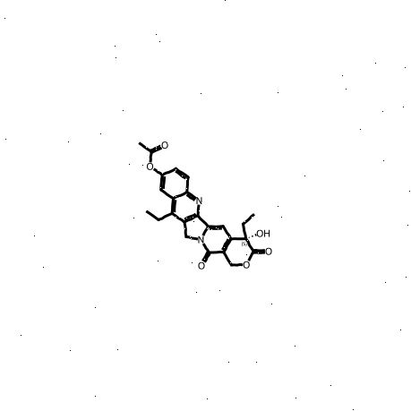 CCc1c2c(nc3ccc(OC(C)=O)cc13)-c1cc3c(c(=O)n1C2)COC(=O)[C@]3(O)CC